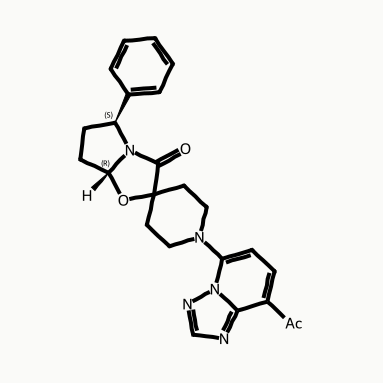 CC(=O)c1ccc(N2CCC3(CC2)O[C@@H]2CC[C@@H](c4ccccc4)N2C3=O)n2ncnc12